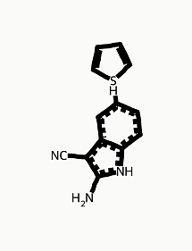 N#Cc1c(N)[nH]c2ccc([SH]3C=CC=C3)cc12